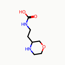 O=C(O)NCCC1COCCN1